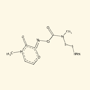 CCCCCCSSN(C)C(=O)ON=c1occn(C)c1=O